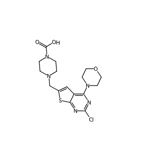 O=C(O)N1CCN(Cc2cc3c(N4CCOCC4)nc(Cl)nc3s2)CC1